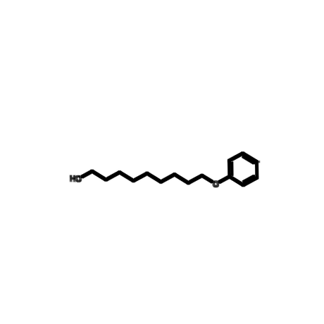 OCCCCCCCCCOc1cc[c]cc1